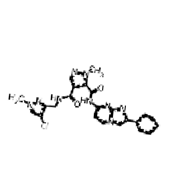 Cn1cc(Cl)c(CNC(=O)c2cnn(C)c2C(=O)Nc2ccn3cc(-c4ccccc4)nc3n2)n1